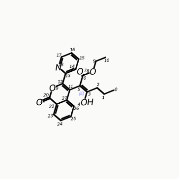 CCC/C(O)=C(\C(=O)OCC)c1c(-c2ccccn2)oc(=O)c2ccccc12